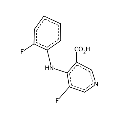 O=C(O)c1cncc(F)c1Nc1ccccc1F